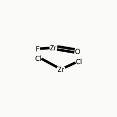 [Cl][Zr][Cl].[O]=[Zr][F]